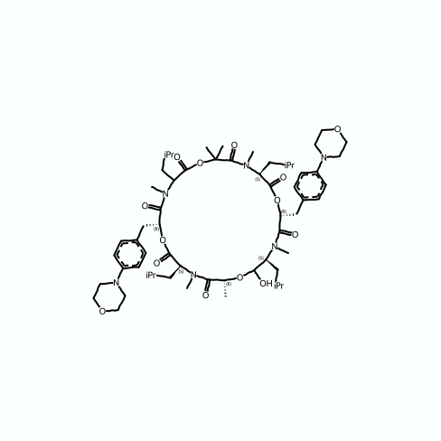 CC(C)CC1C(=O)OC(C)(C)C(=O)N(C)[C@@H](CC(C)C)C(=O)O[C@H](Cc2ccc(N3CCOCC3)cc2)C(=O)N(C)[C@@H](CC(C)C)C(O)O[C@H](C)C(=O)N(C)[C@@H](CC(C)C)C(=O)O[C@H](Cc2ccc(N3CCOCC3)cc2)C(=O)N1C